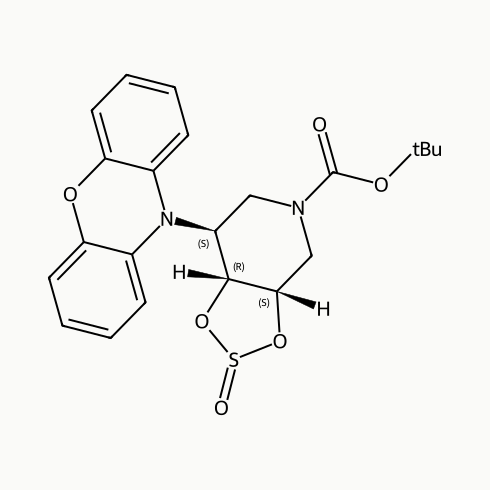 CC(C)(C)OC(=O)N1C[C@@H]2OS(=O)O[C@@H]2[C@@H](N2c3ccccc3Oc3ccccc32)C1